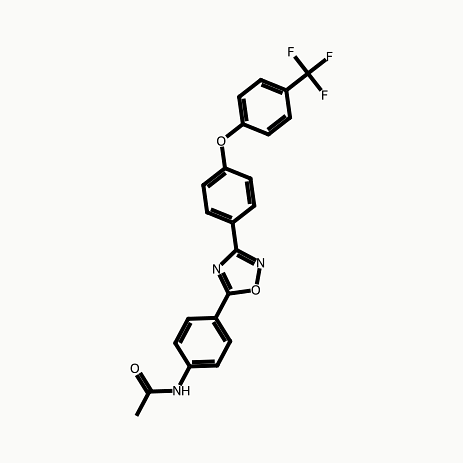 CC(=O)Nc1ccc(-c2nc(-c3ccc(Oc4ccc(C(F)(F)F)cc4)cc3)no2)cc1